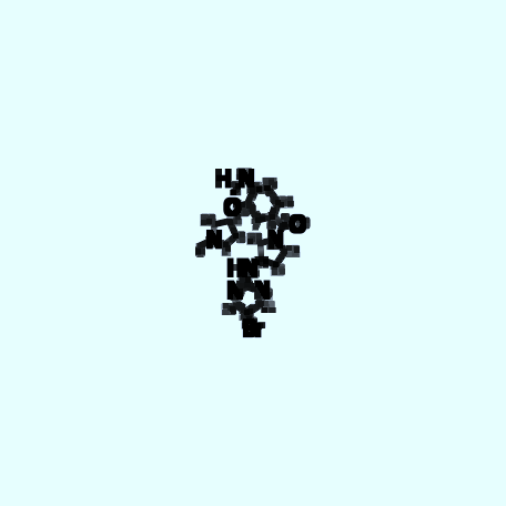 CN1CC[C@@H](Oc2cc(C(=O)N3CC[C@@H](Nc4ncc(Br)cn4)C3)ccc2N)C1